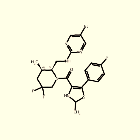 CCc1cnc(NC[C@@H]2[C@H](C)CC(F)(F)CN2C(=O)C2=C(c3ccc(F)cc3)SC(C)N2)nc1